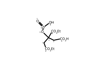 CCOC(=O)CC(CC(=O)O)([O][Zr](=[O])[OH])C(=O)OCC